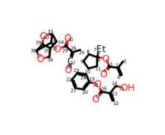 C=C(C)C(=O)OC1(CC)CCCC1.C=C(CO)C(=O)Oc1ccccc1.CC(=C=O)C(=O)OC1C2CC3COC1C3O2